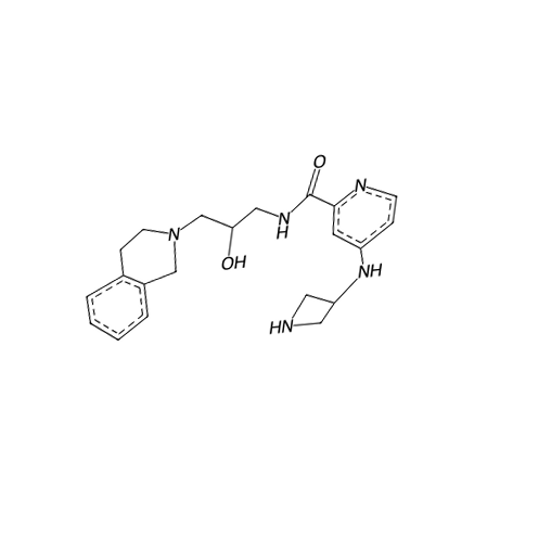 O=C(NCC(O)CN1CCc2ccccc2C1)c1cc(NC2CNC2)ccn1